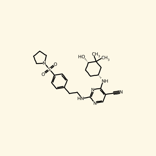 CC1(C)C[C@H](Nc2nc(NCCc3ccc(S(=O)(=O)N4CCCC4)cc3)ncc2C#N)CC[C@@H]1O